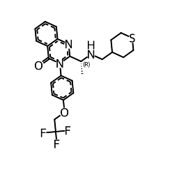 C[C@@H](NCC1CCSCC1)c1nc2ccccc2c(=O)n1-c1ccc(OCC(F)(F)F)cc1